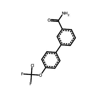 NC(=O)c1cccc(-c2ccc(OC(F)(F)Cl)cc2)c1